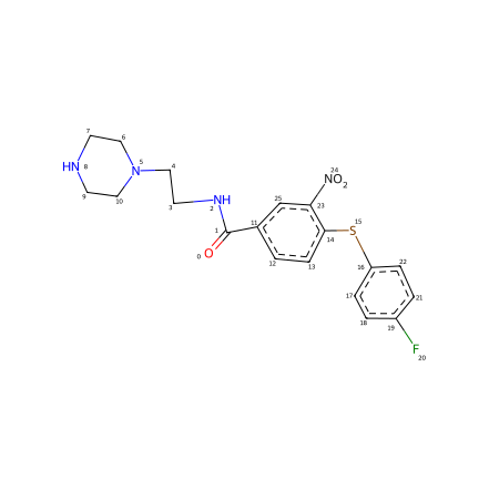 O=C(NCCN1CCNCC1)c1ccc(Sc2ccc(F)cc2)c([N+](=O)[O-])c1